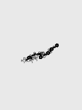 CCC(C)(C)c1ccc(OCCCC(=O)NCC(C)(C)C(=O)c2ccccc2NC(=O)C(Cl)Oc2ccc(S(=O)(=O)c3ccc(OCc4ccccc4)cc3)cc2)c(C(C)(C)CC)c1